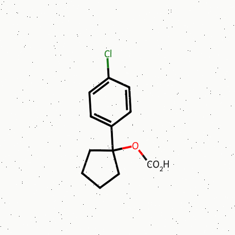 O=C(O)OC1(c2ccc(Cl)cc2)CCCC1